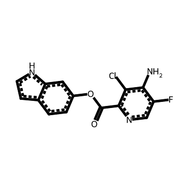 Nc1c(F)cnc(C(=O)Oc2ccc3cc[nH]c3c2)c1Cl